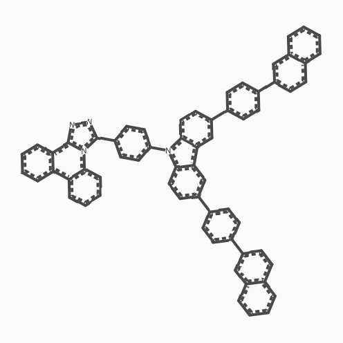 c1ccc2cc(-c3ccc(-c4ccc5c(c4)c4cc(-c6ccc(-c7ccc8ccccc8c7)cc6)ccc4n5-c4ccc(-c5nnc6c7ccccc7c7ccccc7n56)cc4)cc3)ccc2c1